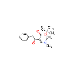 CN(C)/C=C(/C(=O)Cc1ccccc1)C(=O)OC(C)(C)C